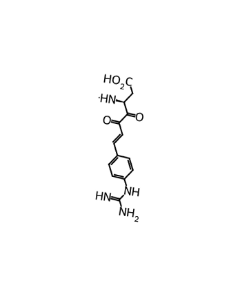 [NH][C@@H](CC(=O)O)C(=O)C(=O)C=Cc1ccc(NC(=N)N)cc1